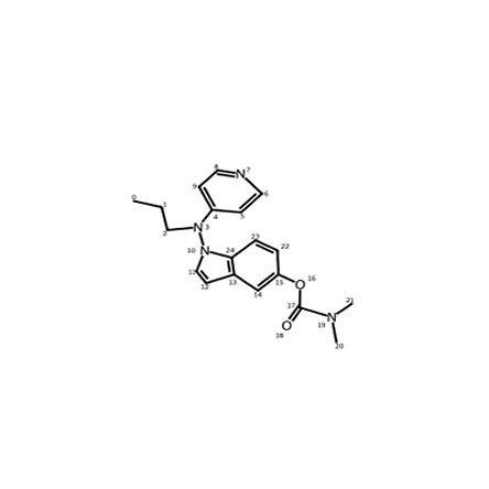 CCCN(c1ccncc1)n1ccc2cc(OC(=O)N(C)C)ccc21